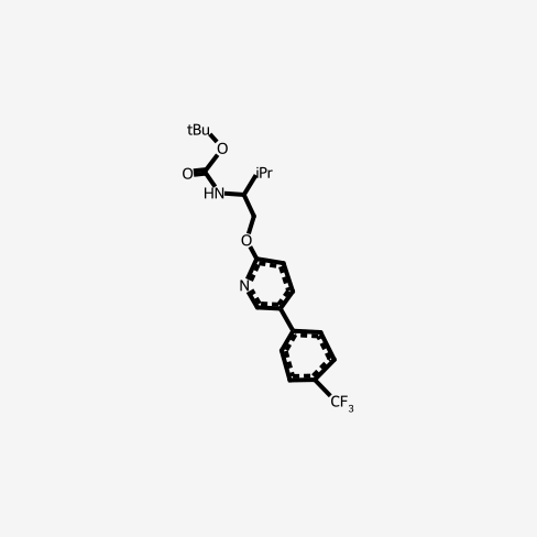 CC(C)C(COc1ccc(-c2ccc(C(F)(F)F)cc2)cn1)NC(=O)OC(C)(C)C